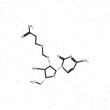 CC[C@H]1O[C@@H](n2ccc(C)nc2=O)[C@@H](OCOCCC(C)=O)C1O